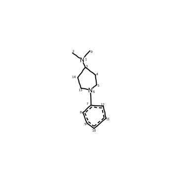 CN(C)C1CCN(c2c[c]ccc2)CC1